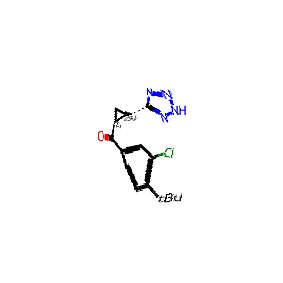 CC(C)(C)c1ccc(C(=O)[C@H]2C[C@@H]2c2nn[nH]n2)cc1Cl